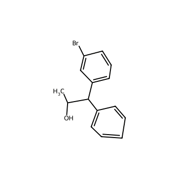 CC(O)C(c1ccccc1)c1cccc(Br)c1